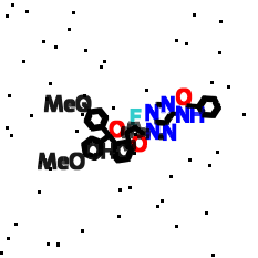 COc1ccc(C(O[C@H]2[C@@H](F)[C@H](n3cnc4c(NC(=O)c5ccccc5)ncnc43)O[C@@H]2C=O)(c2ccccc2)c2ccc(OC)cc2)cc1